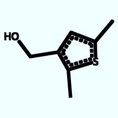 Cc1cc(CO)c(C)s1